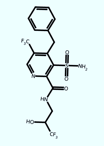 NS(=O)(=O)c1c(C(=O)NCC(O)C(F)(F)F)ncc(C(F)(F)F)c1Cc1ccccc1